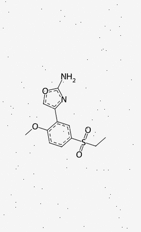 CCS(=O)(=O)c1ccc(OC)c(-c2coc(N)n2)c1